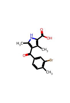 Cc1ccc(C(=O)c2c(C)[nH]c(C(=O)O)c2C)cc1Br